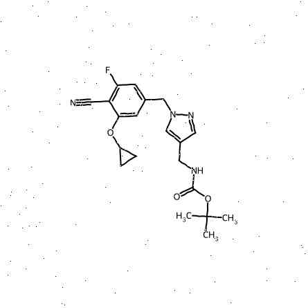 CC(C)(C)OC(=O)NCc1cnn(Cc2cc(F)c(C#N)c(OC3CC3)c2)c1